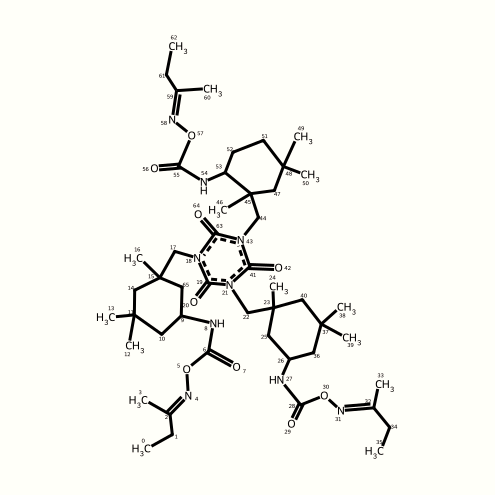 CC/C(C)=N/OC(=O)NC1CC(C)(C)CC(C)(Cn2c(=O)n(CC3(C)CC(NC(=O)O/N=C(\C)CC)CC(C)(C)C3)c(=O)n(CC3(C)CC(C)(C)CCC3NC(=O)O/N=C(\C)CC)c2=O)C1